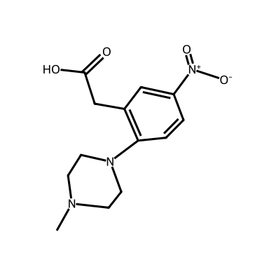 CN1CCN(c2ccc([N+](=O)[O-])cc2CC(=O)O)CC1